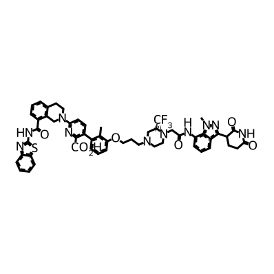 Cc1c(OCCCN2CCN(CC(=O)Nc3cccc4c(C5CCC(=O)NC5=O)nn(C)c34)[C@@H](C(F)(F)F)C2)cccc1-c1ccc(N2CCc3cccc(C(=O)Nc4nc5ccccc5s4)c3C2)nc1C(=O)O